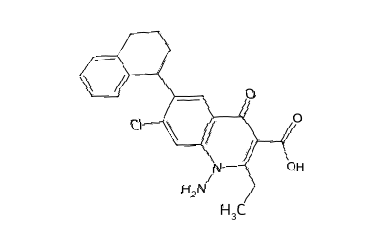 CCc1c(C(=O)O)c(=O)c2cc(C3CCCc4ccccc43)c(Cl)cc2n1N